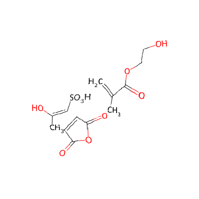 C=C(C)C(=O)OCCO.CC(O)=CS(=O)(=O)O.O=C1C=CC(=O)O1